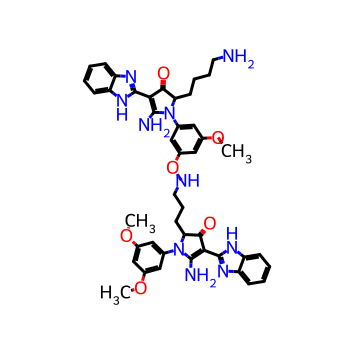 COc1cc(ONCCCC2C(=O)C(c3nc4ccccc4[nH]3)=C(N)N2c2cc(OC)cc(OC)c2)cc(N2C(N)=C(c3nc4ccccc4[nH]3)C(=O)C2CCCCN)c1